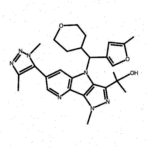 Cc1cc(C(C2CCOCC2)n2c3cc(-c4c(C)nnn4C)cnc3c3c2c(C(C)(C)O)nn3C)co1